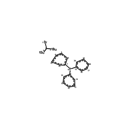 CC(C)(C)C(Br)C(C)(C)C.c1ccc(P(c2ccccc2)c2ccccc2)cc1